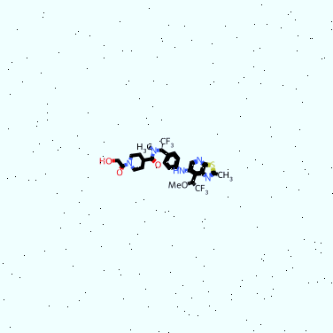 COC(c1c(Nc2ccc([C@H](N(C)C(=O)C3CCN(C(=O)CO)CC3)C(F)(F)F)cc2)cnc2sc(C)nc12)C(F)(F)F